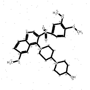 COc1ccc(S(=O)(=O)c2cnc3ccc(SC)cc3c2N2CCC(N3CCC(O)CC3)CC2)cc1OC